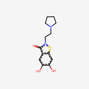 O=c1c2cc(O)c(O)cc2sn1CCN1CCCC1